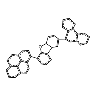 C1=CC2Oc3c(-c4ccc5ccc6cccc7ccc4c5c67)cccc3C2C=C1c1cc2ccccc2c2ccccc12